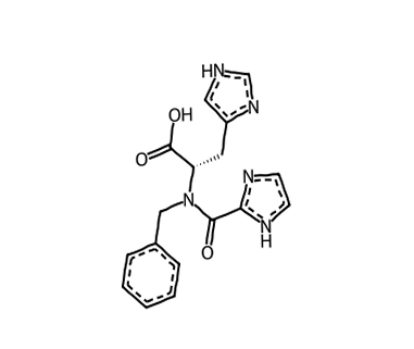 O=C(O)[C@H](Cc1c[nH]cn1)N(Cc1ccccc1)C(=O)c1ncc[nH]1